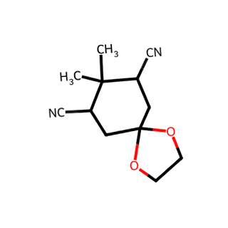 CC1(C)C(C#N)CC2(CC1C#N)OCCO2